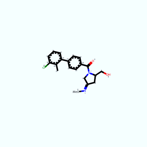 CO/N=C1/CC(CO)N(C(=O)c2ccc(-c3cccc(Cl)c3C)cc2)C1